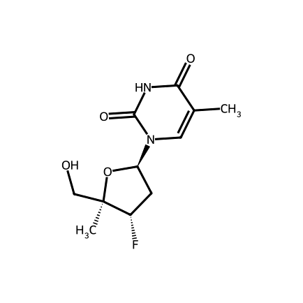 Cc1cn([C@H]2C[C@H](F)[C@@](C)(CO)O2)c(=O)[nH]c1=O